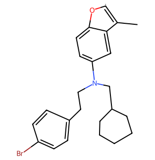 Cc1[c]oc2ccc(N(CCc3ccc(Br)cc3)CC3CCCCC3)cc12